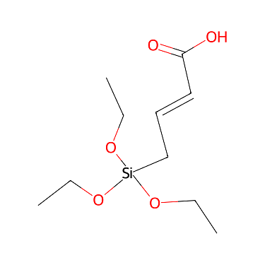 CCO[Si](CC=CC(=O)O)(OCC)OCC